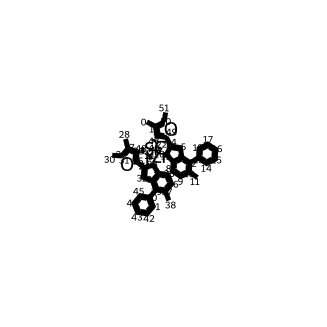 Cc1cc(C2=Cc3c(ccc(C)c3-c3ccccc3)[CH]2[Zr]([Cl])([Cl])([CH]2C(c3cc(C)c(C)o3)=Cc3c2ccc(C)c3-c2ccccc2)=[Si](C)C)oc1C